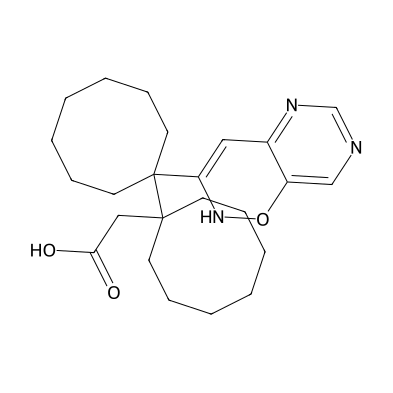 O=C(O)CC1(C2(C3=Cc4ncncc4ON3)CCCCCCC2)CCCCCCC1